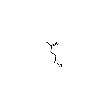 CC(=O)CC[O][Al]